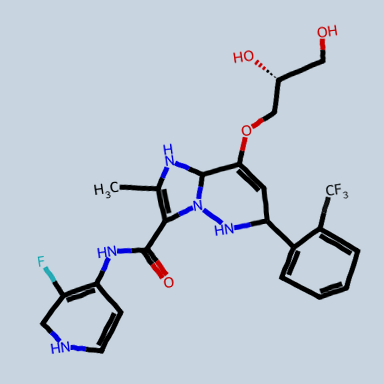 CC1=C(C(=O)NC2=C(F)CNC=C2)N2NC(c3ccccc3C(F)(F)F)C=C(OC[C@H](O)CO)C2N1